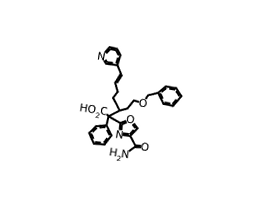 NC(=O)c1coc(C(C(=O)O)(c2ccccc2)C(CCC=Cc2cccnc2)CCOCc2ccccc2)n1